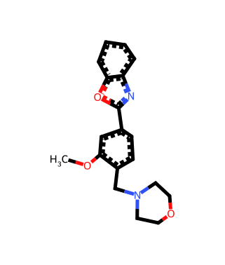 COc1cc(-c2nc3ccccc3o2)ccc1CN1CCOCC1